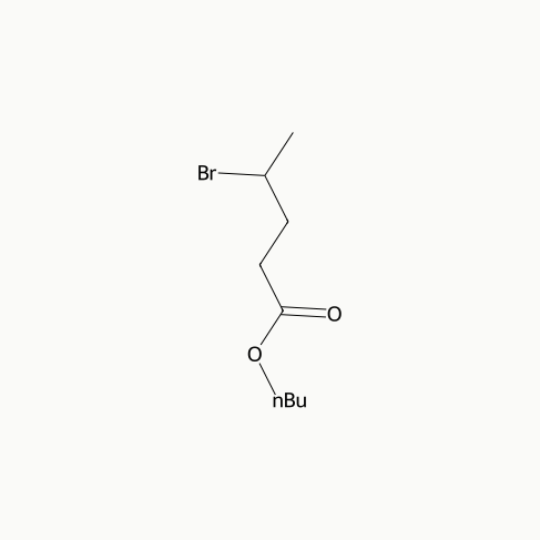 CCCCOC(=O)CCC(C)Br